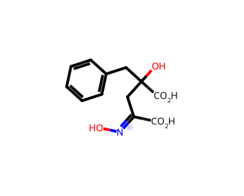 O=C(O)/C(CC(O)(Cc1ccccc1)C(=O)O)=N/O